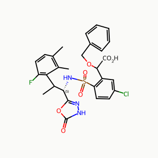 Cc1ccc(F)c(C(C)[C@H](NS(=O)(=O)c2ccc(Cl)cc2C(OCc2ccccc2)C(=O)O)c2n[nH]c(=O)o2)c1C